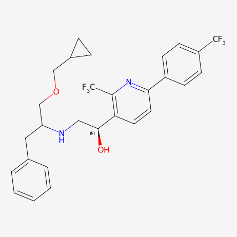 O[C@@H](CNC(COCC1CC1)Cc1ccccc1)c1ccc(-c2ccc(C(F)(F)F)cc2)nc1C(F)(F)F